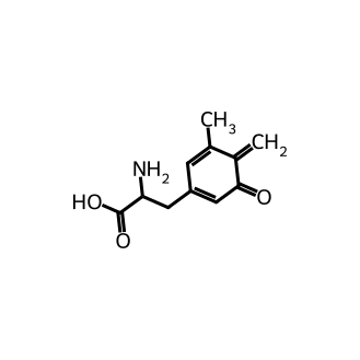 C=C1C(=O)C=C(CC(N)C(=O)O)C=C1C